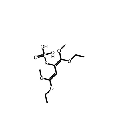 CCOC(=CC(SP(=O)(O)O)=C(OC)OCC)OC